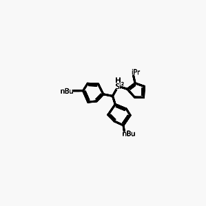 CCCCc1ccc(C([SiH2]C2=C(C(C)C)C=CC2)c2ccc(CCCC)cc2)cc1